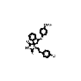 COc1ccc(NC(=O)CC2(c3ccccc3)C(=O)NC(=S)N2CCc2ccc(Cl)cc2)cc1